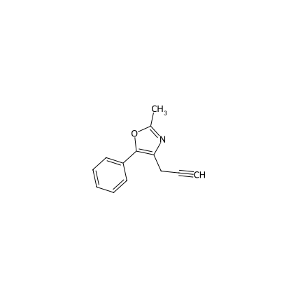 C#CCc1nc(C)oc1-c1ccccc1